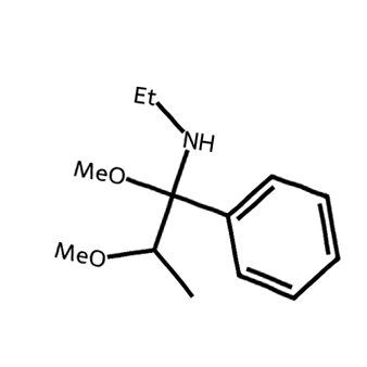 CCNC(OC)(c1ccccc1)C(C)OC